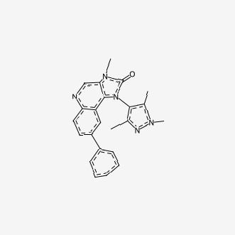 Cc1nn(C)c(C)c1-n1c(=O)n(C)c2cnc3ccc(-c4ccccc4)cc3c21